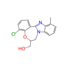 Cc1cccc2c1nc1n2CC(CO)Oc2c(Cl)cccc2-1